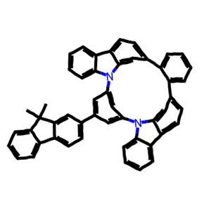 CC1(C)c2ccccc2-c2ccc(-c3cc4cc(c3)n3c5ccccc5c5ccc(cc53)c3ccccc3c3ccc5c6ccccc6n4c5c3)cc21